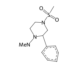 CNN1CCN(S(C)(=O)=O)CC1c1ccccc1